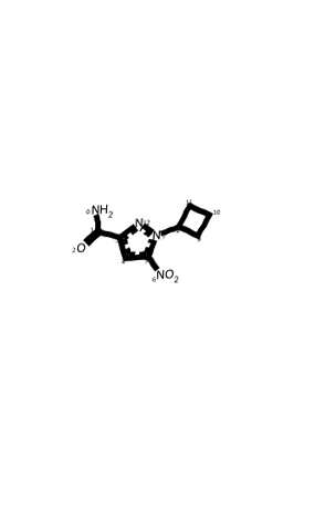 NC(=O)c1cc([N+](=O)[O-])n(C2CCC2)n1